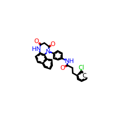 O=C(CCc1ccccc1Cl)Nc1ccc(N2C(=O)CC(=O)Nc3ccc4ccccc4c32)cc1